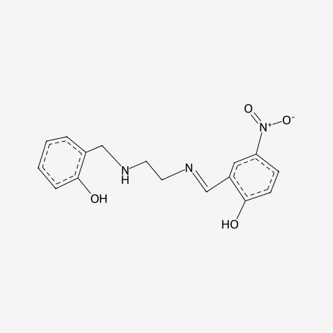 O=[N+]([O-])c1ccc(O)c(C=NCCNCc2ccccc2O)c1